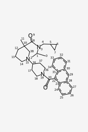 CC(C)N(CC1CC1)C(=O)C1(C)CCCN(C2CCN(C(=O)c3c4ccccc4cc4ccccc34)CC2)C1